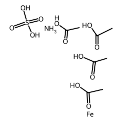 CC(=O)O.CC(=O)O.CC(=O)O.CC(=O)O.N.O=S(=O)(O)O.[Fe]